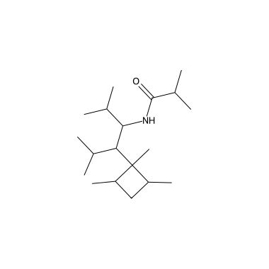 CC(C)C(=O)NC(C(C)C)C(C(C)C)C1(C)C(C)CC1C